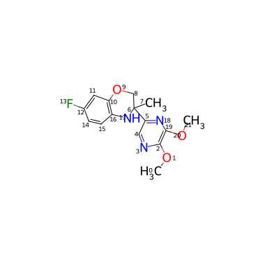 COc1ncc(C2(C)COc3cc(F)ccc3N2)nc1OC